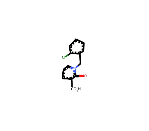 O=C(O)c1cccn(Cc2ccccc2Cl)c1=O